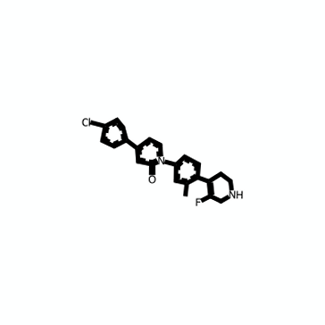 Cc1cc(-n2ccc(-c3ccc(Cl)cc3)cc2=O)ccc1C1=C(F)CNCC1